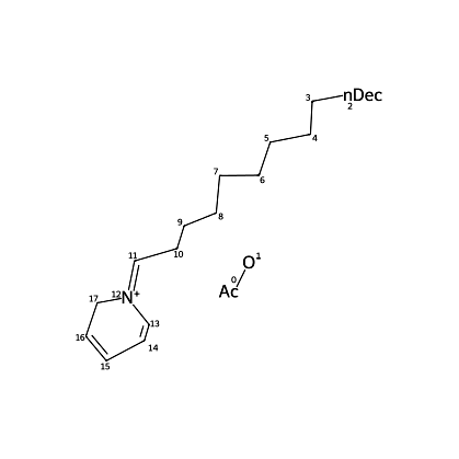 CC(=O)[O-].CCCCCCCCCCCCCCCCCCC=[N+]1C=CC=CC1